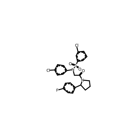 O=C(CN(c1ccc(Cl)cc1)S(=O)(=O)c1cccc(Cl)c1)N1CCCC1c1ccc(F)cc1